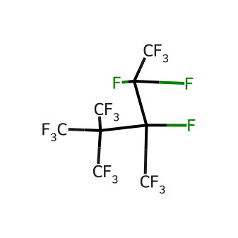 FC(F)(F)C(F)(F)C(F)(C(F)(F)F)C(C(F)(F)F)(C(F)(F)F)C(F)(F)F